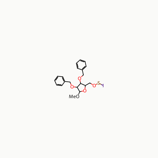 COC1OC(COSI)C(OCc2ccccc2)C1OCc1ccccc1